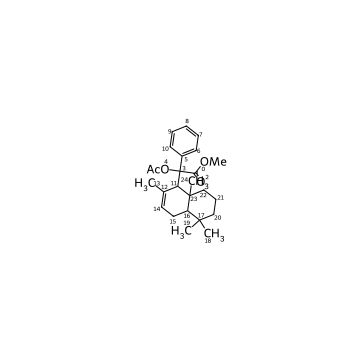 COC(=O)C(OC(C)=O)(c1ccccc1)C1C(C)=CCC2C(C)(C)CCCC21C